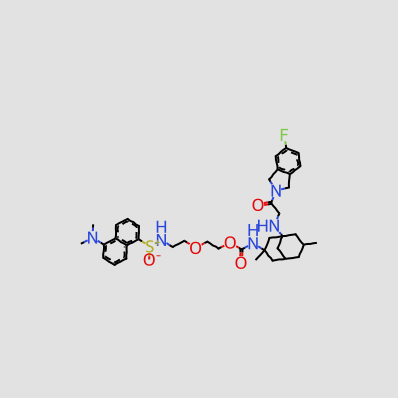 CC1CC2CC(C)(NC(=O)OCCOCCN[S+]([O-])c3cccc4c(N(C)C)cccc34)CC(NCC(=O)N3Cc4ccc(F)cc4C3)(C1)C2